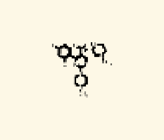 CN1CCN(c2ncc(C(=O)O)c(-c3ccc(F)cc3Cl)n2)CC1.CN1CCNCC1